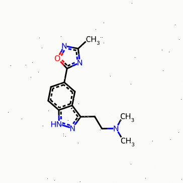 Cc1noc(-c2ccc3[nH]nc(CCN(C)C)c3c2)n1